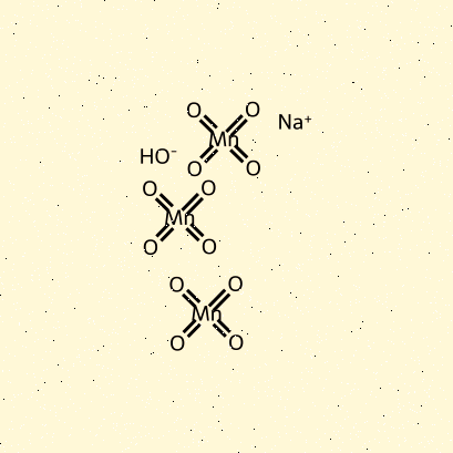 [Na+].[OH-].[O]=[Mn](=[O])(=[O])=[O].[O]=[Mn](=[O])(=[O])=[O].[O]=[Mn](=[O])(=[O])=[O]